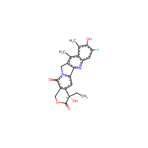 CC[C@@]1(O)C(=O)OCc2c1cc1n(c2=O)Cc2c-1nc1cc(F)c(O)c(C)c1c2C